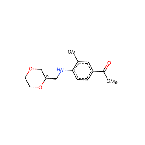 COC(=O)c1ccc(NC[C@@H]2COCCO2)c(N=O)c1